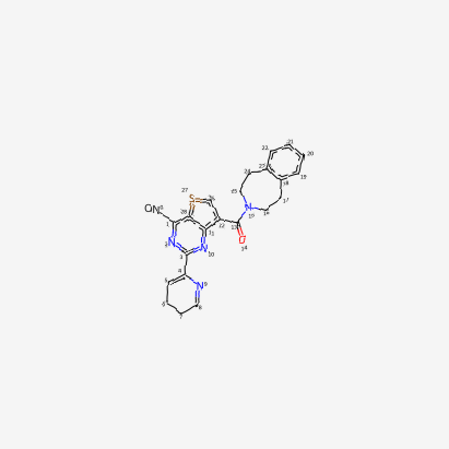 O=Nc1nc(C2=CCCC=N2)nc2c(C(=O)N3CCc4ccccc4CC3)csc12